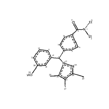 CCN(CC)C(=O)c1ccc(C(c2cccc(O)c2)n2nc(C)c(I)c2C)cc1